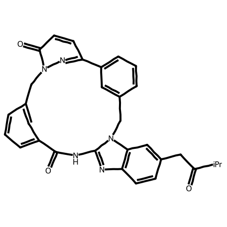 CC(C)C(=O)Cc1ccc2nc3n(c2c1)Cc1cccc(c1)-c1ccc(=O)n(n1)Cc1cccc(c1)C(=O)N3